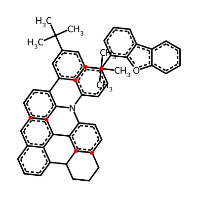 CC(C)(C)c1cc(-c2ccccc2N(c2ccc(-c3cccc4c3oc3ccccc34)cc2)c2ccccc2-c2cccc3cccc(C4CCCCC4)c23)cc(C(C)(C)C)c1